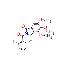 COc1cc2c(c(OC)c1OC)CN(C(=O)c1c(F)cccc1F)C2=O